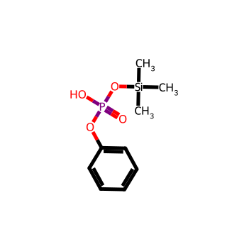 C[Si](C)(C)OP(=O)(O)Oc1ccccc1